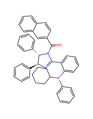 O=C(c1ccc2ccccc2c1)N1C(c2ccccc2P(c2ccccc2)C2CCCCC2)=N[C@@H](c2ccccc2)[C@@H]1c1ccccc1